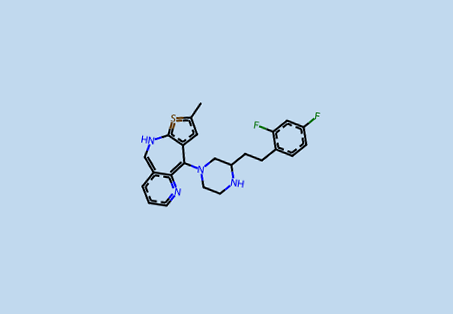 Cc1cc2c(s1)NC=c1cccnc1=C2N1CCNC(CCc2ccc(F)cc2F)C1